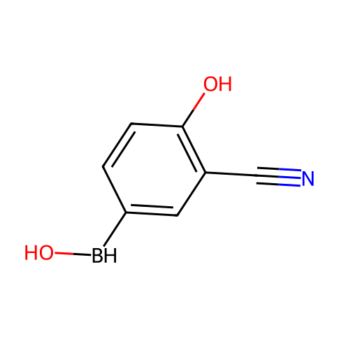 N#Cc1cc(BO)ccc1O